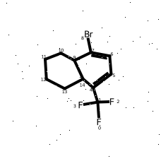 FC(F)(F)C1=CC=C(Br)C2CCCCC12